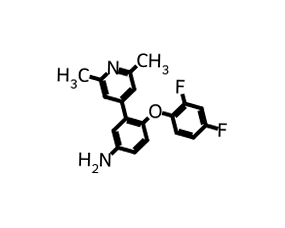 Cc1cc(-c2cc(N)ccc2Oc2ccc(F)cc2F)cc(C)n1